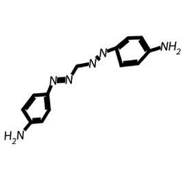 Nc1ccc(N=NCN=Nc2ccc(N)cc2)cc1